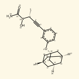 C[C@H](C#Cc1cccc(O[C@]23C[C@H]4C[C@@H](C[C@H](C4)C2)C3)c1)N(O)C(N)=O